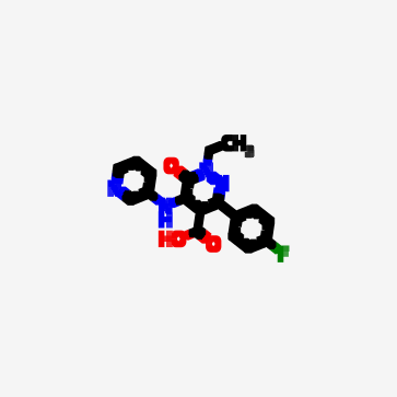 CCn1nc(-c2ccc(F)cc2)c(C(=O)O)c(Nc2cccnc2)c1=O